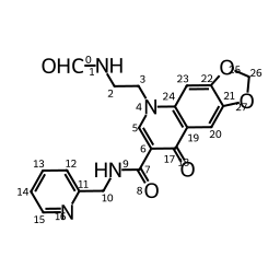 O=CNCCn1cc(C(=O)NCc2ccccn2)c(=O)c2cc3c(cc21)OCO3